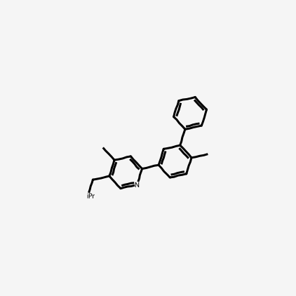 Cc1cc(-c2ccc(C)c(-c3ccccc3)c2)ncc1CC(C)C